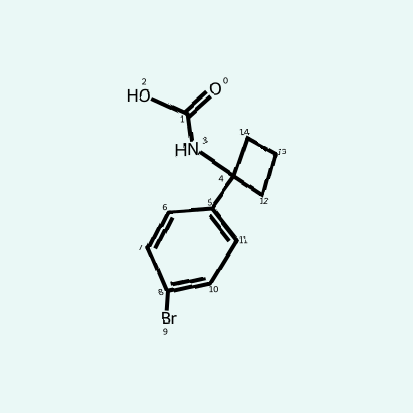 O=C(O)NC1(c2ccc(Br)cc2)CCC1